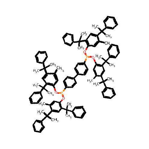 Cc1cc(OP(Oc2cc(C)c(C(C)(C)c3ccccc3)cc2C(C)(C)c2ccccc2)c2ccc(-c3ccc(P(Oc4cc(C)c(C(C)(C)c5ccccc5)cc4C(C)(C)c4ccccc4)Oc4cc(C)c(C(C)(C)c5ccccc5)cc4C(C)(C)c4ccccc4)cc3)cc2)c(C(C)(C)c2ccccc2)cc1C(C)(C)c1ccccc1